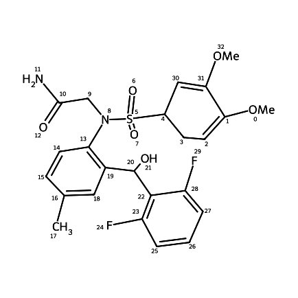 COC1=CCC(S(=O)(=O)N(CC(N)=O)c2ccc(C)cc2C(O)c2c(F)cccc2F)C=C1OC